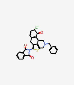 O=C1C2=C(C=CC1Cl)Cc1c(N3C(=O)c4ccccc4C3=O)sc3c1C2CN(Cc1ccccc1)C3